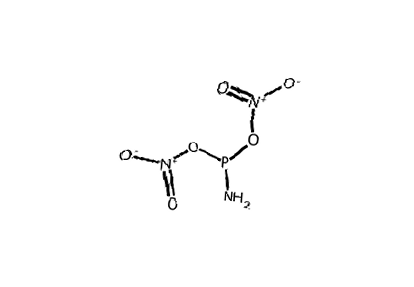 NP(O[N+](=O)[O-])O[N+](=O)[O-]